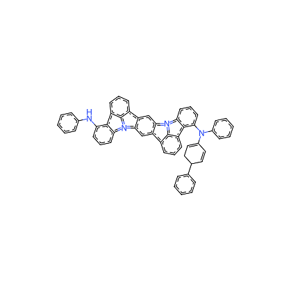 C1=CC(c2ccccc2)CC=C1N(c1ccccc1)c1cccc2c1c1cccc3c4cc5c(cc4n2c31)c1cccc2c3c(Nc4ccccc4)cccc3n5c12